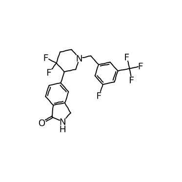 O=C1NCc2cc(C3CN(Cc4cc(F)cc(C(F)(F)F)c4)CCC3(F)F)ccc21